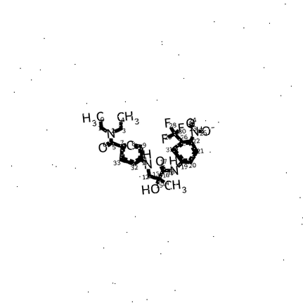 CCN(CC)C(=O)c1ccc(NCC(C)(O)C(=O)Nc2ccc([N+](=O)[O-])c(C(F)(F)F)c2)cc1